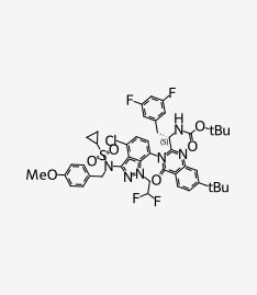 COc1ccc(CN(c2nn(CC(F)F)c3c(-n4c([C@H](Cc5cc(F)cc(F)c5)NC(=O)OC(C)(C)C)nc5cc(C(C)(C)C)ccc5c4=O)ccc(Cl)c23)S(=O)(=O)C2CC2)cc1